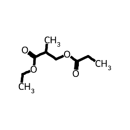 CCOC(=O)C(C)COC(=O)CC